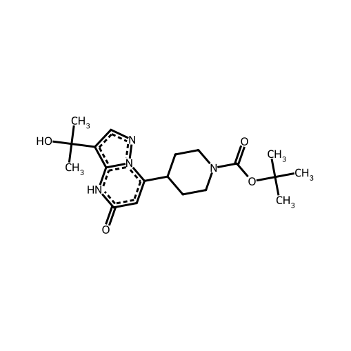 CC(C)(C)OC(=O)N1CCC(c2cc(=O)[nH]c3c(C(C)(C)O)cnn23)CC1